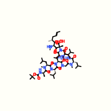 C/C=C/C[C@@H](C)[C@@H](O)[C@H](NC)C(=O)[C@](C)(C(=O)O)N(C(=O)C(N)CC)C(=O)[C@H](C)N(C)C(=O)[C@@H](NC(=O)[C@H](CC(C)C)N(C)C(=O)CN(C)C(=O)[C@H](C(C)C)N(C)C(=O)[C@H](CC(C)C)N(C)C(=O)[C@H](CC(C)C)N(C)C(=O)[C@@H](C)NC(=O)OC(C)(C)C)C(C)C